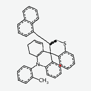 Cc1ccccc1N1C2=C(C=CCC2)C2(c3ccccc3Sc3ccc(-c4cccc5ccccc45)cc32)c2ccccc21